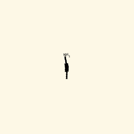 [CH2]C#CN